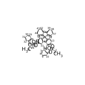 CCC(O)(Oc1ccccc1)Oc1ccc(C2(c3ccc(OC(O)(CC)Oc4ccccc4)cc3)c3ccccc3-c3ccccc32)cc1